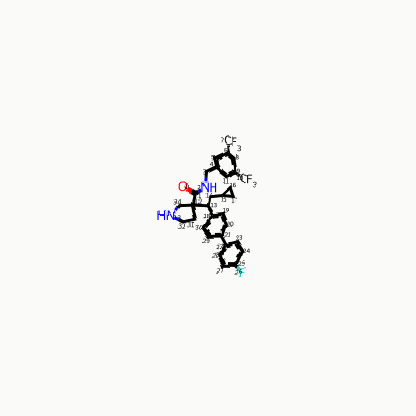 O=C(NCc1cc(C(F)(F)F)cc(C(F)(F)F)c1)C1(C(CC2CC2)c2ccc(-c3ccc(F)cc3)cc2)CCNC1